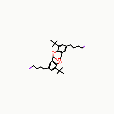 CC(C)(C)c1cc(CCCCI)cc2c1OC1OC2Oc2c1cc(CCCCI)cc2C(C)(C)C